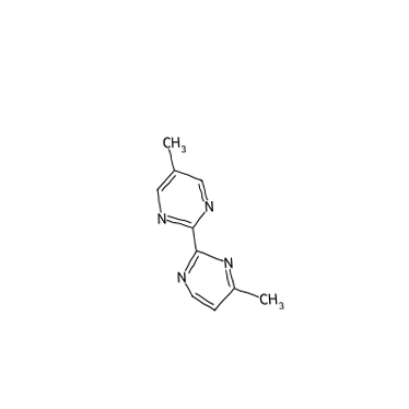 Cc1cnc(-c2nccc(C)n2)nc1